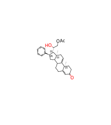 CC(=O)OCC(O)[C@H]1[C@H](c2ccccc2)CC2C3CCC4=CC(=O)CC[C@]4(C)C3=CC[C@@]21C